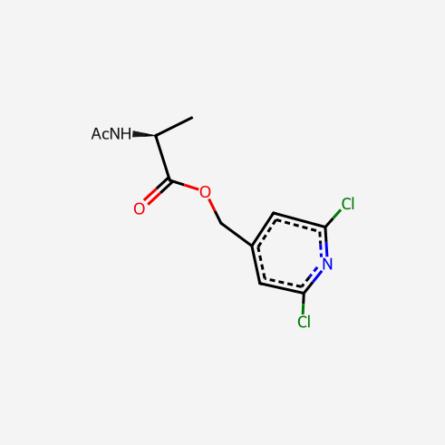 CC(=O)N[C@@H](C)C(=O)OCc1cc(Cl)nc(Cl)c1